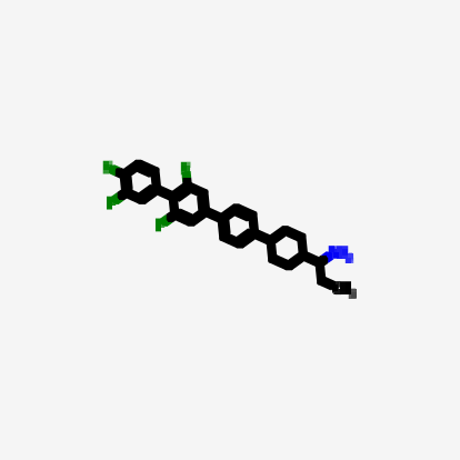 CCC(N)C1CCC(c2ccc(-c3cc(F)c(-c4ccc(F)c(F)c4)c(F)c3)cc2)CC1